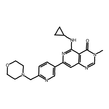 Cn1cnc2cc(-c3ccc(CN4CCOCC4)nc3)nc(NC3CC3)c2c1=O